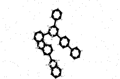 c1ccc(-c2ccc(-c3cc(-c4ccccc4)nc(-c4cccc5sc6cc(-c7nc8ccccc8o7)ccc6c45)n3)cc2)cc1